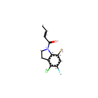 C/C=C/C(=O)N1CCc2c(Cl)c(F)cc(Br)c21